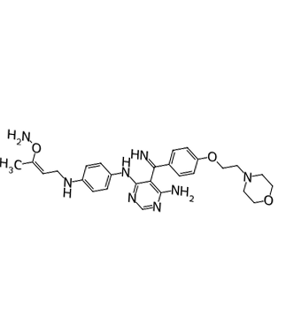 C/C(=C/CNc1ccc(Nc2ncnc(N)c2C(=N)c2ccc(OCCN3CCOCC3)cc2)cc1)ON